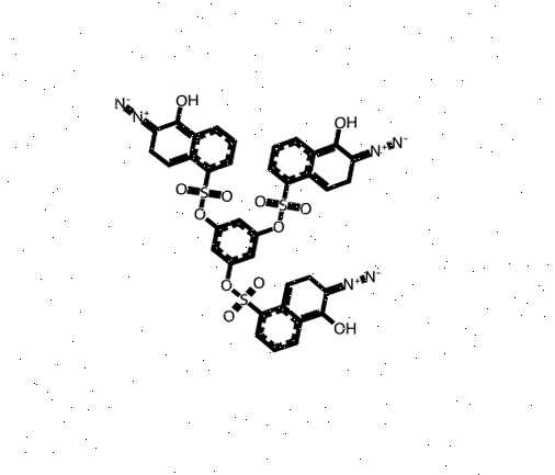 [N-]=[N+]=C1CC=c2c(S(=O)(=O)Oc3cc(OS(=O)(=O)c4cccc5c4=CCC(=[N+]=[N-])C=5O)cc(OS(=O)(=O)c4cccc5c4=CCC(=[N+]=[N-])C=5O)c3)cccc2=C1O